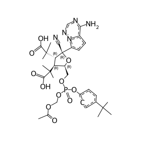 CC(=O)OCOP(=O)(OC[C@@H]1O[C@@](C#N)(c2ccc3c(N)ncnn23)[C@@H](C(C)(C)C(=O)O)[C@@H]1C(C)(C)C(=O)O)Oc1ccc(C(C)(C)C)cc1